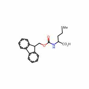 CSCCC(NC(=O)OCC1c2ccccc2-c2ccccc21)C(=O)O